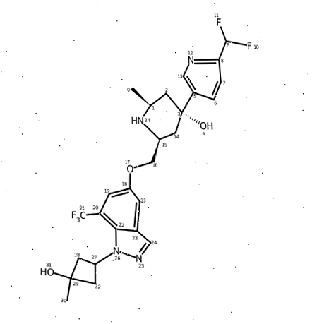 C[C@H]1C[C@@](O)(c2ccc(C(F)F)nc2)C[C@@H](COc2cc(C(F)(F)F)c3c(cnn3C3CC(C)(O)C3)c2)N1